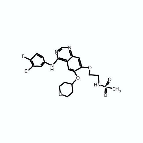 CS(=O)(=O)NCCOc1cc2ncnc(Nc3ccc(F)c(Cl)c3)c2cc1OC1CCOCC1